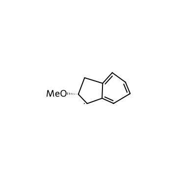 CO[C@H]1[CH]c2ccccc2C1